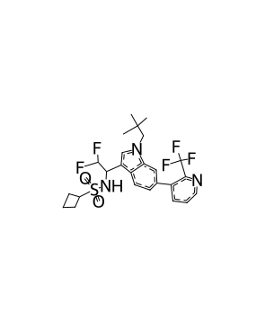 CC(C)(C)Cn1cc(C(NS(=O)(=O)C2CCC2)C(F)F)c2ccc(-c3cccnc3C(F)(F)F)cc21